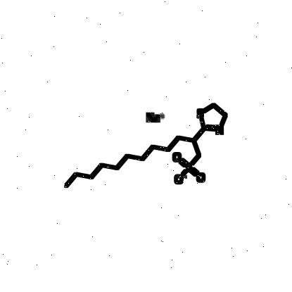 CCCCCCCCCCC(CS(=O)(=O)[O-])C1=NCCS1.[Na+]